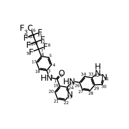 O=C(Nc1ccc(C(F)(F)C(F)(F)C(F)(F)C(F)(F)F)cc1)c1cccnc1Nc1ccc2cn[nH]c2c1